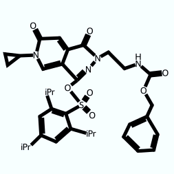 CC(C)c1cc(C(C)C)c(S(=O)(=O)Oc2nn(CCNC(=O)OCc3ccccc3)c(=O)c3cc(=O)n(C4CC4)cc23)c(C(C)C)c1